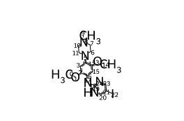 COc1cc(N2CCN(C)CC2)c(OC)cc1Nc1ncc(I)cn1